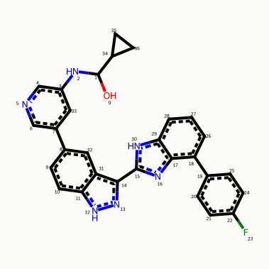 OC(Nc1cncc(-c2ccc3[nH]nc(-c4nc5c(-c6ccc(F)cc6)cccc5[nH]4)c3c2)c1)C1CC1